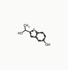 CC(O)c1cc2cc(O)ccc2s1